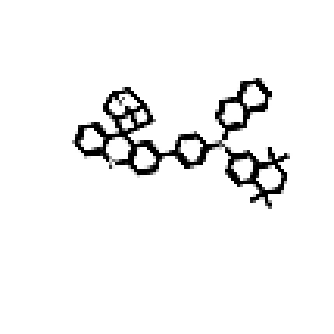 CC1(C)CCC(C)(C)c2cc(N(c3ccc(-c4ccc5c(c4)C4(c6ccccc6O5)C5CC6CC7CC4C75C6)cc3)c3ccc4ccccc4c3)ccc21